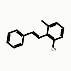 Cc1cccc(C#N)c1C=Cc1ccccc1